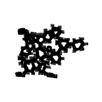 CC(C)(C)c1ccc2c(c1)c1cc3ccc1n2-c1c(c(C#N)c2c(oc4c(-c5cc(-c6ccccc6)nc(-c6ccccc6)n5)cccc42)c1-n1c2ccc(C(C)(C)C)cc2c2cc(C(C)(C)C)ccc21)-n1c2ccc(C(C)(C)C)cc2c2cc(C(C)(C)C)cc(c21)C3(C)C